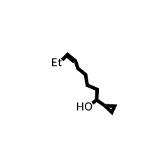 CC/C=C\CCCCC(O)C1CC1